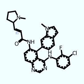 CN1CCCC1/C=C/C(=O)Nc1ccc2ncnc(Nc3cccc(Cl)c3F)c2c1-c1ccc2ccn(C)c2c1